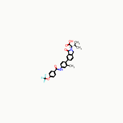 Cc1cc(NC(=O)c2ccc(OC(F)(F)F)cc2)ccc1-c1ccc2c(c1)C(=O)N([C@H](C(=O)O)C(C)C)C2